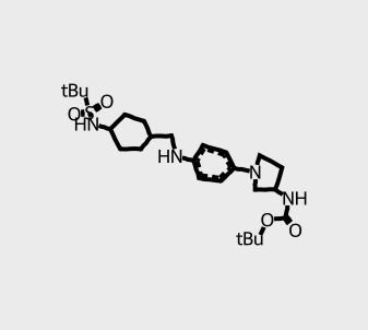 CC(C)(C)OC(=O)NC1CCN(c2ccc(NCC3CCC(NS(=O)(=O)C(C)(C)C)CC3)cc2)C1